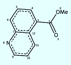 COC(=O)c1cccc2nc[c]cc12